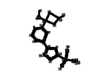 COC1(c2ccnc(-n3cc(S(N)(=O)=O)cn3)c2)CC(C)C1